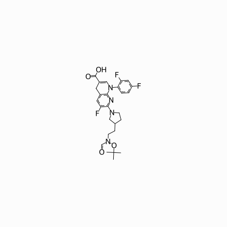 CC(C)(C)ON(C=O)CCC1CCN(c2nc3c(cc2F)CC(C(=O)O)=CN3c2ccc(F)cc2F)C1